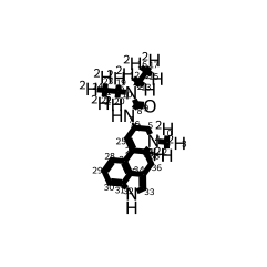 [2H]C([2H])([2H])N1C[C@@H](NC(=O)N(C([2H])([2H])C([2H])([2H])[2H])C([2H])([2H])C([2H])([2H])[2H])C=C2c3cccc4[nH]cc(c34)C[C@H]21